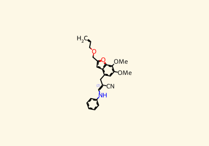 C=CCOCc1cc2c(C/C(C#N)=C/Nc3ccccc3)cc(OC)c(OC)c2o1